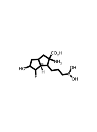 NC1(C(=O)O)CC2CC(O)C(F)[C@H]2C1CCCB(O)O